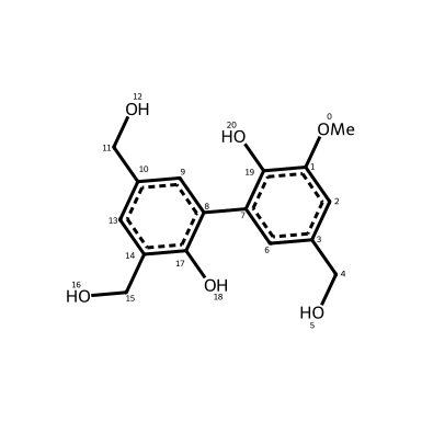 COc1cc(CO)cc(-c2cc(CO)cc(CO)c2O)c1O